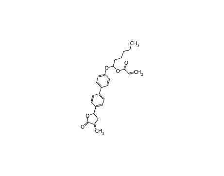 C=CC(=O)OC(CCCCC)Oc1ccc(-c2ccc(C3CC(=C)C(=O)O3)cc2)cc1